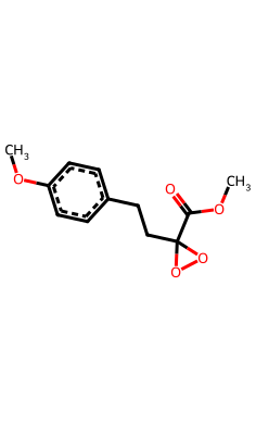 COC(=O)C1(CCc2ccc(OC)cc2)OO1